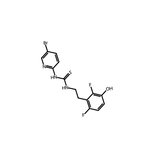 Oc1ccc(F)c(CCNC(=S)Nc2ccc(Br)cn2)c1F